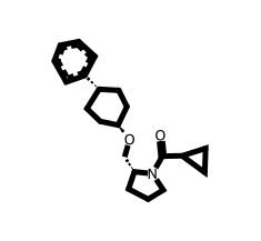 O=C(C1CC1)N1CCC[C@@H]1CO[C@H]1CC[C@@H](c2ccccc2)CC1